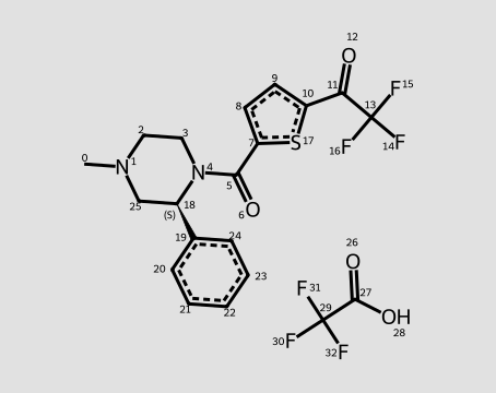 CN1CCN(C(=O)c2ccc(C(=O)C(F)(F)F)s2)[C@@H](c2ccccc2)C1.O=C(O)C(F)(F)F